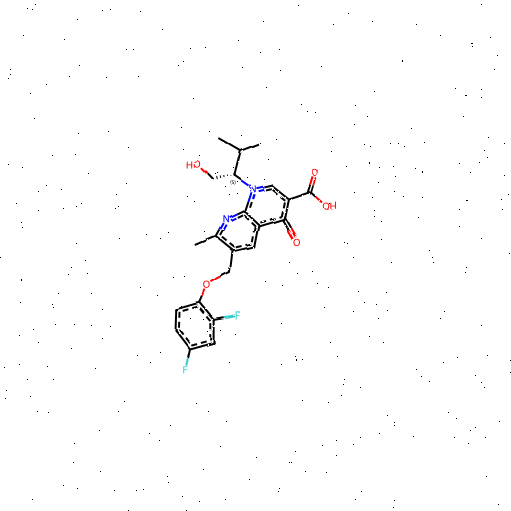 Cc1nc2c(cc1COc1ccc(F)cc1F)c(=O)c(C(=O)O)cn2[C@H](CO)C(C)C